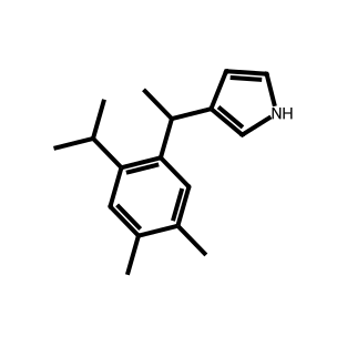 Cc1cc(C(C)C)c(C(C)c2cc[nH]c2)cc1C